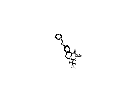 COC(=O)C1c2ccc(OCc3ccccc3)cc2CCN1C(=O)C(F)(F)C(F)(F)F